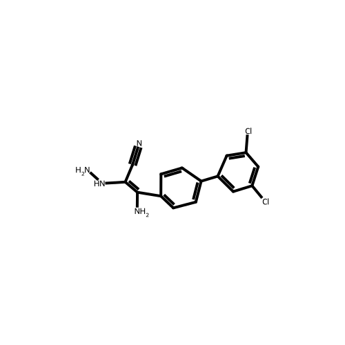 N#C/C(NN)=C(/N)c1ccc(-c2cc(Cl)cc(Cl)c2)cc1